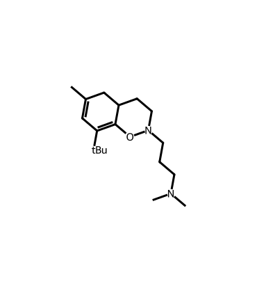 CC1=CC(C(C)(C)C)=C2ON(CCCN(C)C)CCC2C1